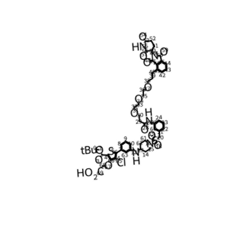 CC(C)(C)OC(=O)c1sc(-c2cccc(NC3CCN(S(=O)(=O)Cc4cccc(NC(=O)CCOCCOCCOCCCc5cccc6c5C(=O)N(C5CCC(=O)NC5=O)C6=O)c4)CC3)c2)c(Cl)c1OCC(=O)O